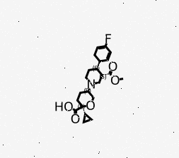 COC(=O)[C@@H]1CN([C@@H]2CC[C@@](C(=O)O)(C3CC3)OC2)CC[C@H]1C1C=CC(F)=CC1